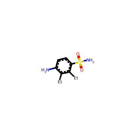 CCc1c(N)ccc(S(N)(=O)=O)c1CC